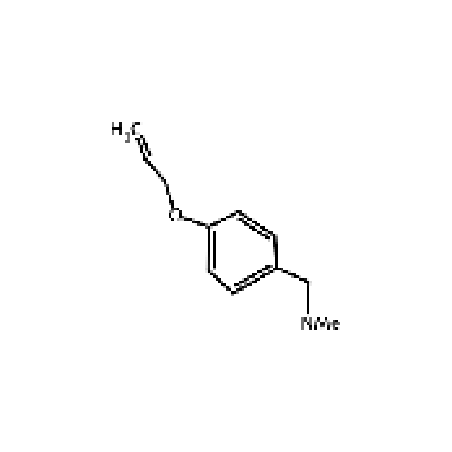 C=CCOc1ccc(CNC)cc1